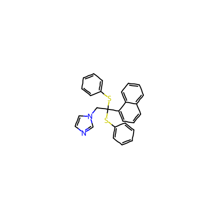 c1ccc(SC(Cn2ccnc2)(Sc2ccccc2)c2cccc3ccccc23)cc1